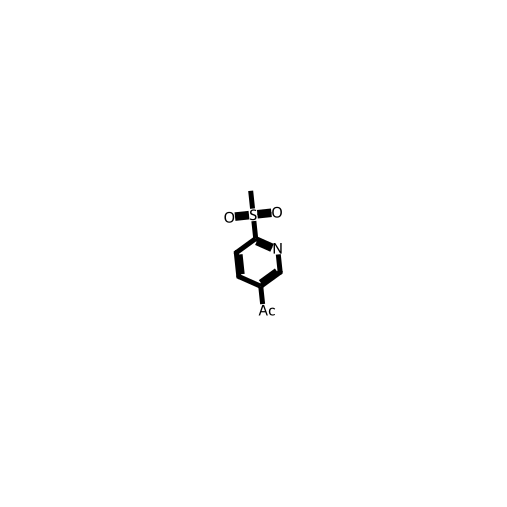 CC(=O)c1ccc(S(C)(=O)=O)nc1